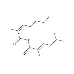 CCCCC=C(C)C(=O)OC(=O)C(C)=CCC(C)C